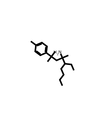 CCCCC(CC)C(C)(N)CC(C)(C)c1ccc(C)cc1